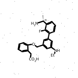 CCNc1cc(COc2ccccc2CC(=O)O)cc(-c2cccc([C@@H](C)N)c2F)c1